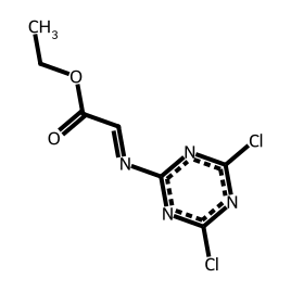 CCOC(=O)/C=N/c1nc(Cl)nc(Cl)n1